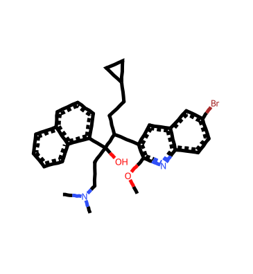 COc1nc2ccc(Br)cc2cc1C(CCC1CC1)C(O)(CCN(C)C)c1cccc2ccccc12